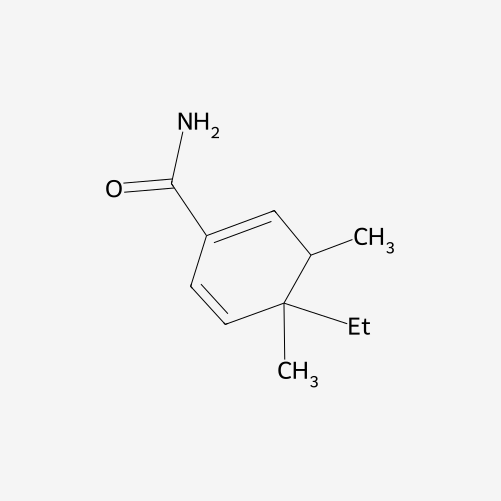 CCC1(C)C=CC(C(N)=O)=CC1C